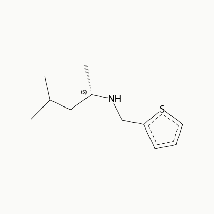 CC(C)C[C@H](C)NCc1cccs1